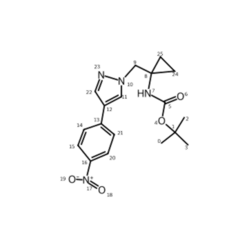 CC(C)(C)OC(=O)NC1(Cn2cc(-c3ccc([N+](=O)[O-])cc3)cn2)CC1